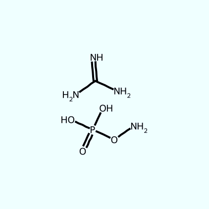 N=C(N)N.NOP(=O)(O)O